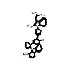 C/C(C#N)=C\c1c(C)n(-c2ccc(-c3cc(-c4ccccc4-n4c5c(c6ccccc64)C=CCC5C#N)ccc3C#N)cc2)c2ccccc12